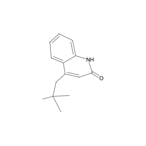 CC(C)(C)Cc1cc(=O)[nH]c2ccccc12